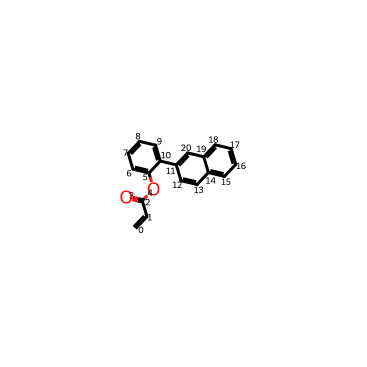 C=CC(=O)Oc1ccccc1-c1ccc2ccccc2c1